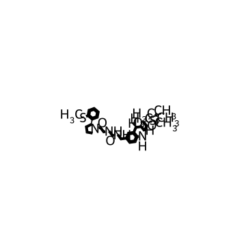 CSc1ccccc1[C@@H]1CCCN1C(=O)CNC(=O)NCc1ccc2c(c1)[C@H]1C[C@@H](N2)[C@H](O[Si](C)(C)C(C)(C)C)CO1